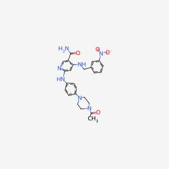 CC(=O)N1CCN(c2ccc(Nc3cc(NCc4cccc([N+](=O)[O-])c4)c(C(N)=O)cn3)cc2)CC1